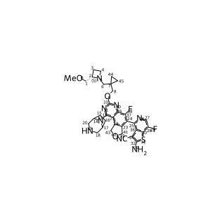 COC[C@@H]1CCN1CC1(COc2nc(N3C4CCC3CNC4)c3c4c(c(-c5ncc(F)c6sc(N)c(C#N)c56)c(F)c3n2)COC4)CC1